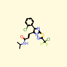 CC(C)NC(=O)/C=C/c1c(-c2ccccc2Cl)nc2sc(C(F)(F)Cl)nn12